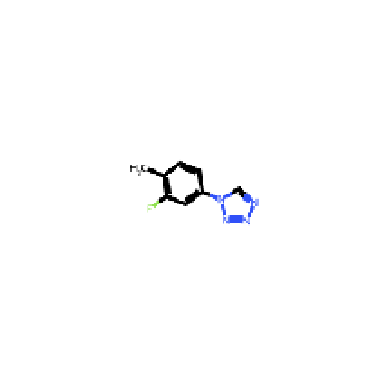 Cc1ccc(-n2cnnn2)cc1F